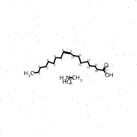 CCCCCCCC/C=C\CCCCCCCC(=O)O.CN.Cl